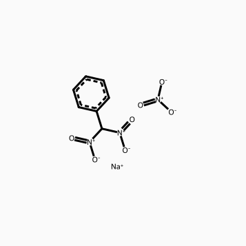 O=[N+]([O-])C(c1ccccc1)[N+](=O)[O-].O=[N+]([O-])[O-].[Na+]